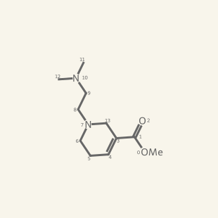 COC(=O)C1=CCCN(CCN(C)C)C1